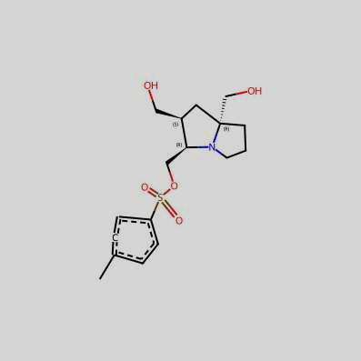 Cc1ccc(S(=O)(=O)OC[C@H]2[C@@H](CO)C[C@@]3(CO)CCCN23)cc1